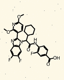 COc1ccc(-c2nc3cc(F)c(F)cc3n2C(C(=O)Nc2ccc(C(=O)O)cc2F)C2CCCCC2)c(OC)n1